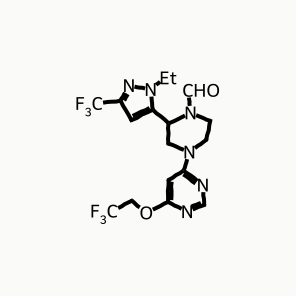 CCn1nc(C(F)(F)F)cc1C1CN(c2cc(OCC(F)(F)F)ncn2)CCN1C=O